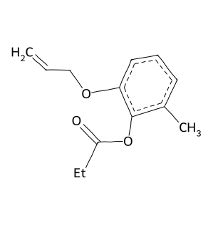 C=CCOc1cccc(C)c1OC(=O)CC